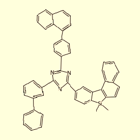 C[Si]1(C)c2ccc(-c3nc(-c4ccc(-c5cccc6ccccc56)cc4)nc(-c4cccc(-c5ccccc5)c4)n3)cc2-c2c1ccc1ccccc21